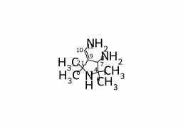 CC1(C)NC(C)(C)C(N)C1=CN